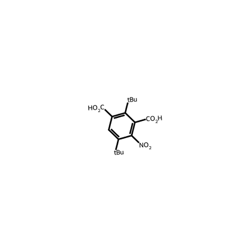 CC(C)(C)c1cc(C(=O)O)c(C(C)(C)C)c(C(=O)O)c1[N+](=O)[O-]